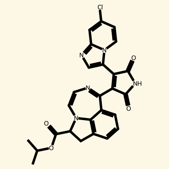 CC(C)OC(=O)C1Cc2cccc3c2N1C=CN=C3C1=C(c2cnc3cc(Cl)ccn23)C(=O)NC1=O